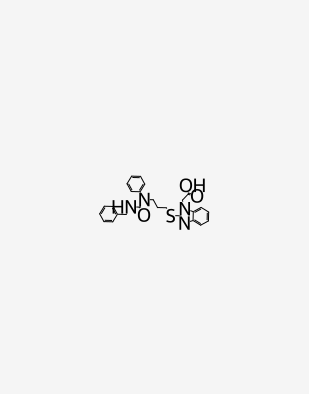 O=C(O)Cn1c(SCCCN(C(=O)NCc2ccccc2)c2ccccc2)nc2ccccc21